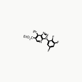 CCOC(=O)c1cnc2c(nnn2-c2cc(F)cc(F)c2F)c1C(C)C